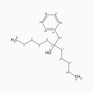 CCCCCC(O)(CCCCC)Cc1ccccc1